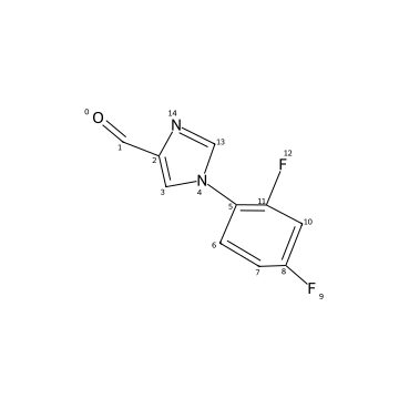 O=Cc1cn(-c2ccc(F)cc2F)cn1